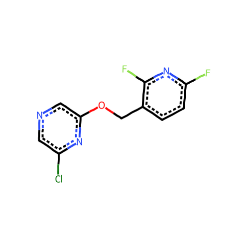 Fc1ccc(COc2cncc(Cl)n2)c(F)n1